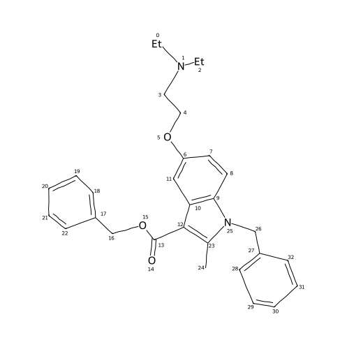 CCN(CC)CCOc1ccc2c(c1)c(C(=O)OCc1ccccc1)c(C)n2Cc1ccccc1